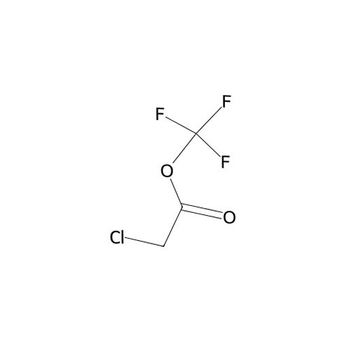 O=C(CCl)OC(F)(F)F